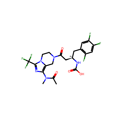 CC(=O)N(C)c1nc(C(F)(F)F)n2c1CN(C(=O)C[C@@H](Cc1cc(F)c(F)cc1F)NC(=O)O)CC2